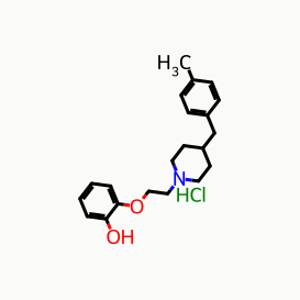 Cc1ccc(CC2CCN(CCOc3ccccc3O)CC2)cc1.Cl